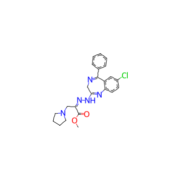 COC(=O)C(CN1CCCC1)=NNC1=Nc2ccc(Cl)cc2C(c2ccccc2)=NC1